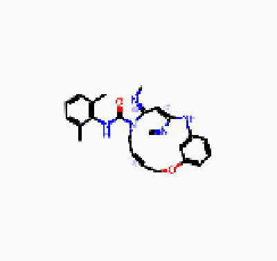 C=N/C1=C\C(=N/C)N(C(=O)Nc2c(C)cccc2C)C/C=C\COc2cccc(c2)N1